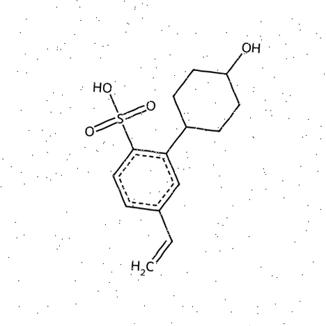 C=Cc1ccc(S(=O)(=O)O)c(C2CCC(O)CC2)c1